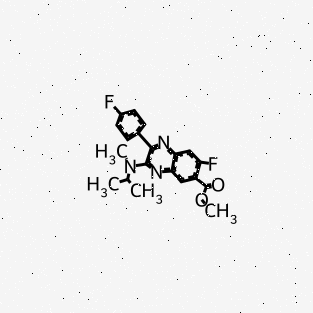 COC(=O)c1cc2nc(N(C)C(C)C)c(-c3ccc(F)cc3)nc2cc1F